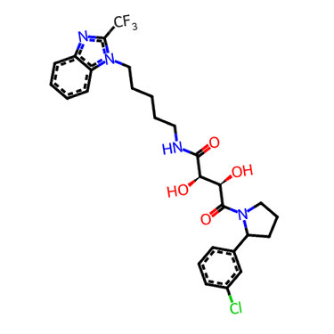 O=C(NCCCCCn1c(C(F)(F)F)nc2ccccc21)[C@H](O)[C@@H](O)C(=O)N1CCCC1c1cccc(Cl)c1